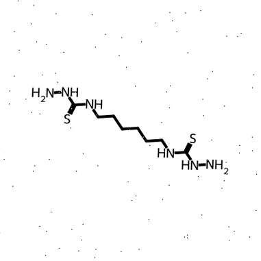 NNC(=S)NCCCCCCNC(=S)NN